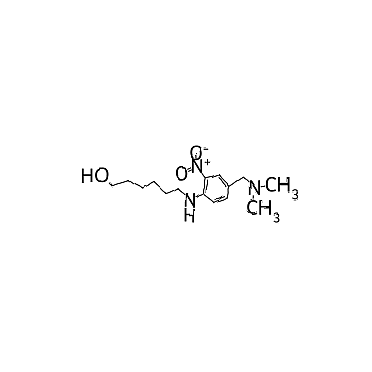 CN(C)Cc1ccc(NCCCCCCO)c([N+](=O)[O-])c1